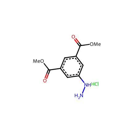 COC(=O)c1cc(NN)cc(C(=O)OC)c1.Cl